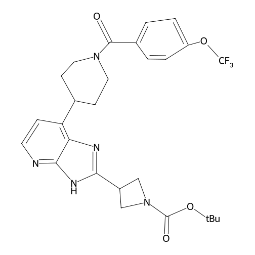 CC(C)(C)OC(=O)N1CC(c2nc3c(C4CCN(C(=O)c5ccc(OC(F)(F)F)cc5)CC4)ccnc3[nH]2)C1